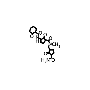 CN(CC1CCC(C(N)=O)C1=O)C(=O)C1CCC(NC(=O)C2CCCCC2=O)C1=O